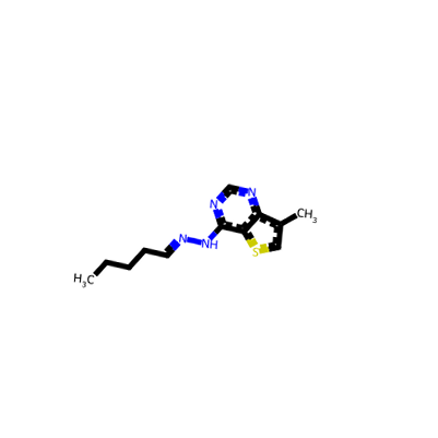 CCCCC=NNc1ncnc2c(C)csc12